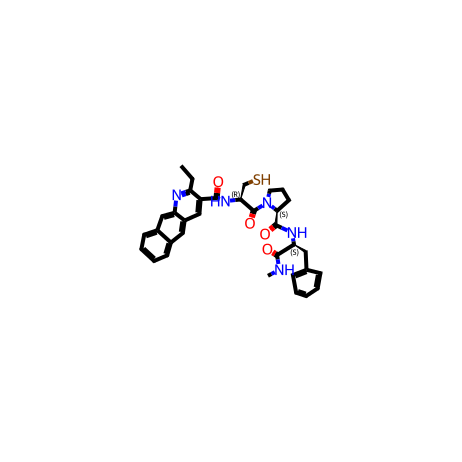 CCc1nc2cc3ccccc3cc2cc1C(=O)N[C@@H](CS)C(=O)N1CCC[C@H]1C(=O)N[C@@H](Cc1ccccc1)C(=O)NC